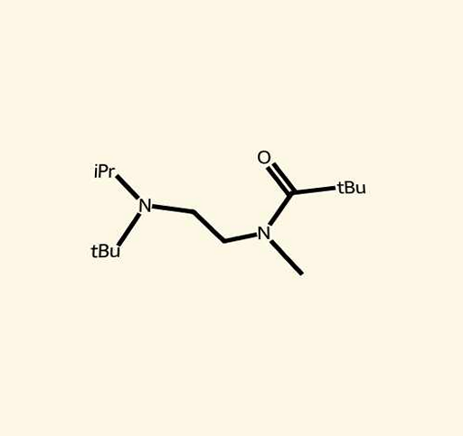 CC(C)N(CCN(C)C(=O)C(C)(C)C)C(C)(C)C